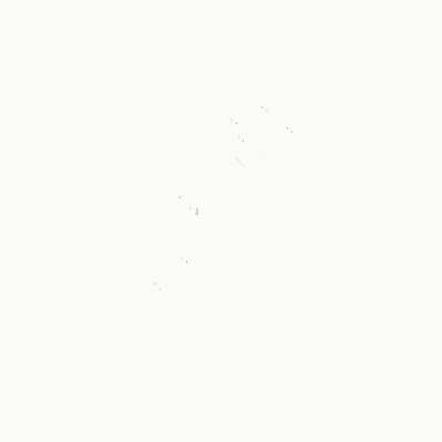 Cc1cc(F)c(-c2cc(C(F)(F)F)c3c(N)ncnn23)cc1C(=O)N[C@@H]1CN(C(=O)c2ncc(F)cc2F)C[C@@H]1F